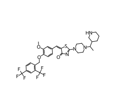 COc1cc(C=C2SC(N3CCN(C(C)C4CCCNC4)CC3)=NC2=O)ccc1OCc1ccc(C(F)(F)F)cc1C(F)(F)F